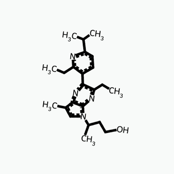 CCc1nc(C(C)C)ccc1-c1nc2c(C)cn(C(C)CCO)c2nc1CC